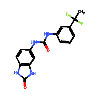 CC(F)(F)c1cccc(NC(=O)Nc2ccc3[nH]c(=O)[nH]c3c2)c1